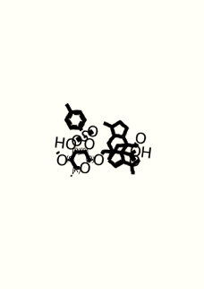 CO[C@H]1[C@@H](O)[C@H](OS(=O)(=O)c2ccc(C)cc2)[C@H](OCC23CC4C(C)CCC4C4(C=O)CC2C=C(C(C)C)C43C(=O)O)O[C@@H]1C